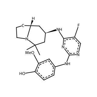 COc1cc(Nc2ncc(F)c(N[C@@H]3C[C@H]4CCCN4C(C)(C)C3)n2)ccc1O